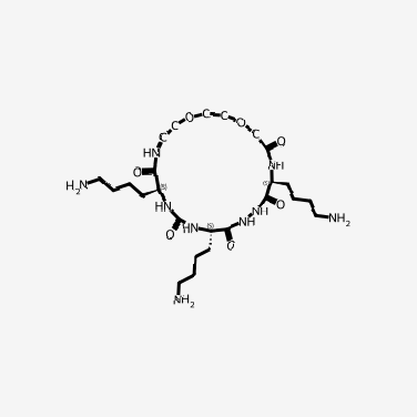 NCCCC[C@@H]1NC(=O)COCCOCCNC(=O)[C@H](CCCCN)NC(=O)N[C@@H](CCCCN)C(=O)NNC1=O